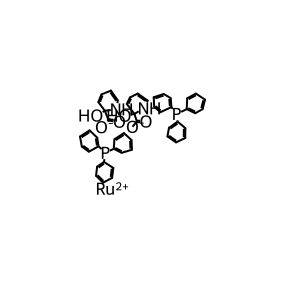 O=C([O-])C1(O)C=CC=CN1.O=C([O-])C1(O)C=CC=CN1.[Ru+2].c1ccc(P(c2ccccc2)c2ccccc2)cc1.c1ccc(P(c2ccccc2)c2ccccc2)cc1